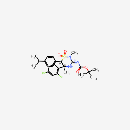 CC(C)c1ccc([C@@H]2[C@@](C)(c3ccc(F)cc3F)N/C(=N\C(=O)OC(C)(C)C)N(C)S2(=O)=O)cc1